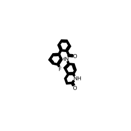 O=C1CCc2cc(NC(=O)c3ccccc3-c3cccc(F)c3)ccc2N1